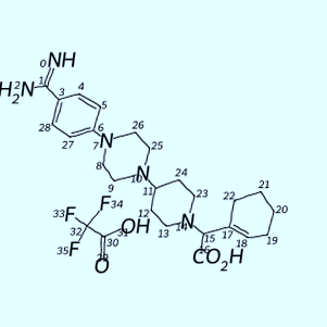 N=C(N)c1ccc(N2CCN(C3CCN(C(C(=O)O)C4=CCCCC4)CC3)CC2)cc1.O=C(O)C(F)(F)F